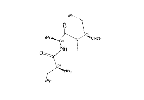 CC(C)C[C@@H]([C]=O)N(C)C(=O)[C@@H](NC(=O)[C@@H](N)CC(C)C)C(C)C